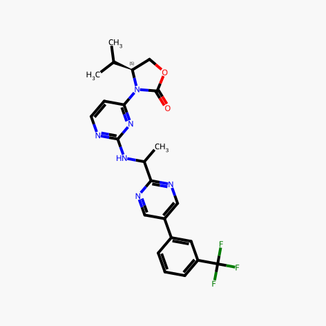 CC(Nc1nccc(N2C(=O)OC[C@@H]2C(C)C)n1)c1ncc(-c2cccc(C(F)(F)F)c2)cn1